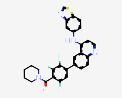 O=C(c1c(F)cc(-c2ccc3nccc(Nc4ccc5scnc5c4)c3c2)c(F)c1F)N1CCCCC1